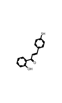 O=C(/C=C/c1ccc(S)cc1)c1ccccc1O